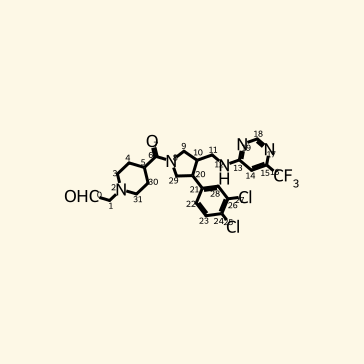 O=CCN1CCC(C(=O)N2CC(CNc3cc(C(F)(F)F)ncn3)C(c3ccc(Cl)c(Cl)c3)C2)CC1